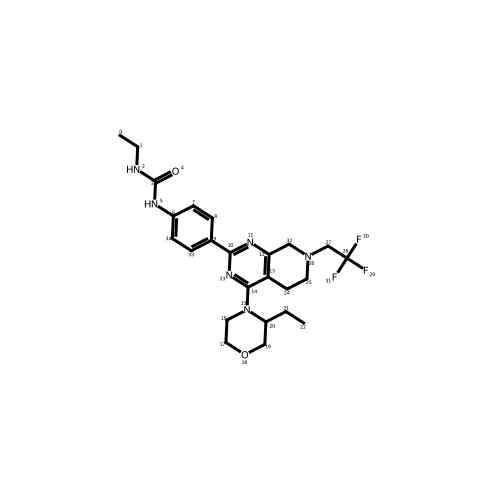 CCNC(=O)Nc1ccc(-c2nc3c(c(N4CCOCC4CC)n2)CCN(CC(F)(F)F)C3)cc1